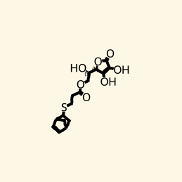 O=C(CCSC1CC2C=CC1C2)OC[C@H](O)[C@H]1OC(=O)C(O)=C1O